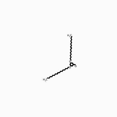 CCCCCCCCC=CCCCCCCCCOc1cc(C=O)cc(OCCCCCCCCC=CCCCCCCCC)c1